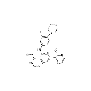 COc1nccnc1-c1cc2c(c(Nc3ccc(N4CCOCC4)c(F)c3)n1)C(C=O)NC=C2